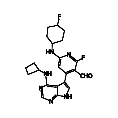 O=Cc1c(-c2c[nH]c3ncnc(NC4CCC4)c23)cc(NC2CCC(F)CC2)nc1F